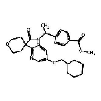 COC(=O)c1ccc([C@H](C)NC(=O)C2(c3ccc(OCC4CCCCC4)cn3)CCOCC2)cc1